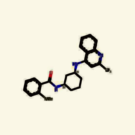 CNc1ccccc1C(=O)N[C@@H]1CCC[C@H](Nc2cc(C(F)(F)F)nc3ccccc23)C1